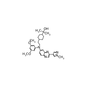 COc1cc(OC)cc(N(CCC2CCC(C(C)(C)O)CC2)c2ccc3ncc(-c4cnn(C)c4)nc3c2)c1